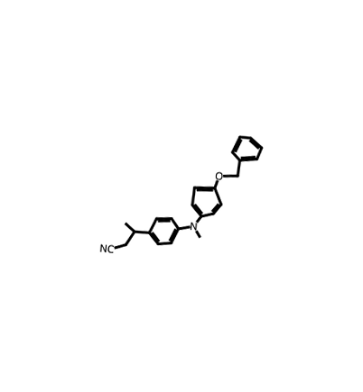 CC(CC#N)c1ccc(N(C)c2ccc(OCc3ccccc3)cc2)cc1